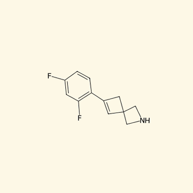 Fc1ccc(C2=CC3(CNC3)C2)c(F)c1